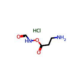 Cl.NCCC(=O)ONC=O